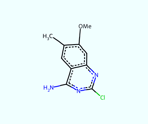 COc1cc2nc(Cl)nc(N)c2cc1C